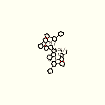 C=Cc1oc2c(N(c3c(F)cc(-c4ccccc4)cc3-c3ccccc3)c3cc4sc5cc(N(c6c(F)cc(-c7ccccc7)cc6-c6ccccc6)c6cccc7c6oc6ccccc67)c6ccccc6c5c4c4ccccc34)cccc2c1/C=C\C